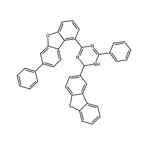 c1ccc(C2=NC(c3cccc4oc5cc(-c6ccccc6)ccc5c34)=NC(c3ccc4sc5ccccc5c4c3)N2)cc1